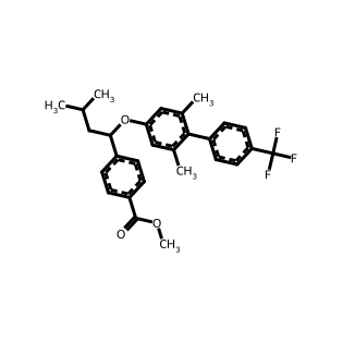 COC(=O)c1ccc(C(CC(C)C)Oc2cc(C)c(-c3ccc(C(F)(F)F)cc3)c(C)c2)cc1